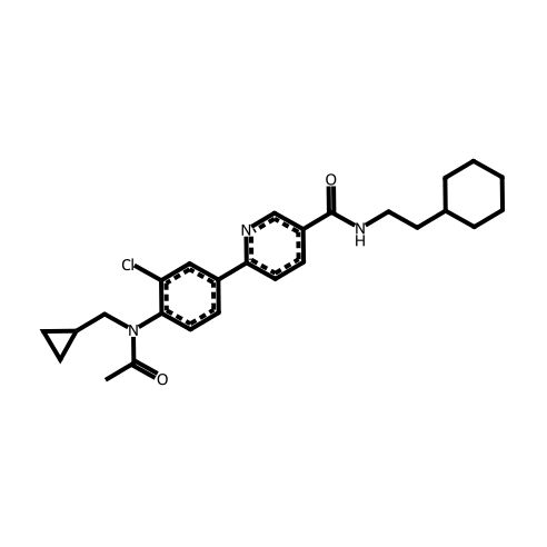 CC(=O)N(CC1CC1)c1ccc(-c2ccc(C(=O)NCCC3CCCCC3)cn2)cc1Cl